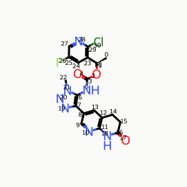 C[C@@H](OC(=O)Nc1c(-c2cnc3c(c2)CCC(=O)N3)nnn1C)c1cc(F)cnc1Cl